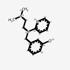 CN(C)CCN(Cc1cccc(Cl)c1)c1ccccn1